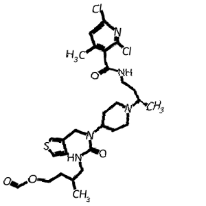 Cc1cc(Cl)nc(Cl)c1C(=O)NCC[C@@H](C)N1CCC(N(Cc2ccsc2)C(=O)NCC(C)CCOC=O)CC1